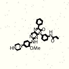 C=CC(=O)Nc1cccc(-n2c(=O)c(-c3ccccc3)nc3cnc(Nc4ccc(N5CCNCC5)cc4OC)nc32)c1